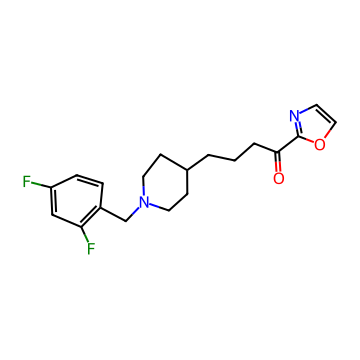 O=C(CCCC1CCN(Cc2ccc(F)cc2F)CC1)c1ncco1